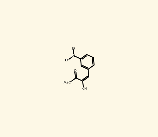 CCN(CC)c1cccc(C=C(C#N)C(=O)OC)c1